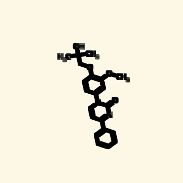 COc1cc(-n2ccc(-c3ccccc3)nc2=O)ccc1OCC(C)(C)O